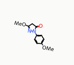 COC1=NN(c2ccc(OC)cc2)C(=O)C1